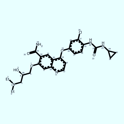 CCN(CC)C[C@@H](O)COc1cc2nccc(Oc3ccc(NC(=O)NC4CC4)c(Cl)c3)c2cc1C(N)=O